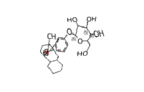 CC1(c2cccc(O[C@@H]3OC(CO)[C@H](O)[C@H](O)C3O)c2)OOC12C1CCCC2C2CCCCC2C1